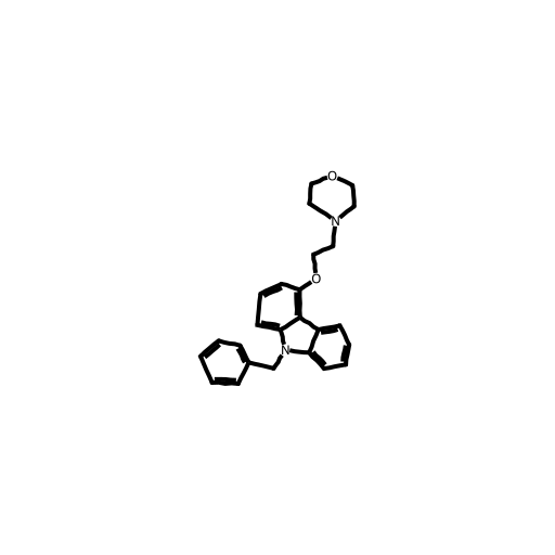 c1ccc(Cn2c3ccccc3c3c(OCCN4CCOCC4)cccc32)cc1